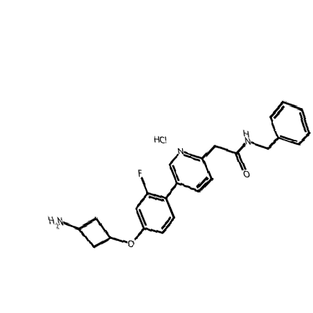 Cl.NC1CC(Oc2ccc(-c3ccc(CC(=O)NCc4ccccc4)nc3)c(F)c2)C1